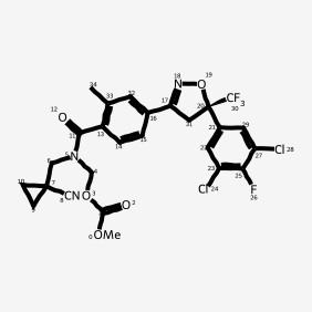 COC(=O)OCN(CC1(C#N)CC1)C(=O)c1ccc(C2=NO[C@@](c3cc(Cl)c(F)c(Cl)c3)(C(F)(F)F)C2)cc1C